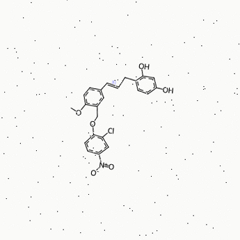 COc1ccc(/C=C/Cc2ccc(O)cc2O)cc1COc1ccc([N+](=O)[O-])cc1Cl